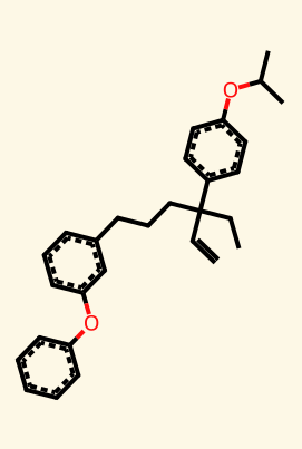 C=CC(CC)(CCCc1cccc(Oc2ccccc2)c1)c1ccc(OC(C)C)cc1